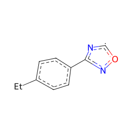 CCc1ccc(-c2n[c]on2)cc1